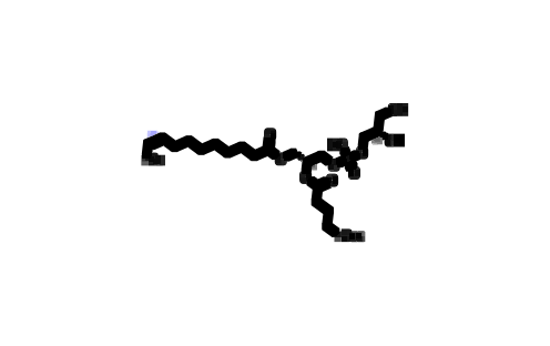 CCCC/C=C\CCCCCCCC(=O)OC[C@H](COP(=O)(O)OC[C@@H](O)CO)OC(=O)CCCCCCCCCCCCC